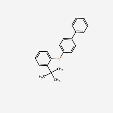 CC(C)(C)c1ccccc1Sc1ccc(-c2ccccc2)cc1